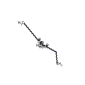 CCCCCCCC/C=C\CCCCCCCC(=O)OC[C@@H](O)[C@H]1OC[C@H](OC(=O)CCCCCCCCCCCCCCCCC)[C@H]1O